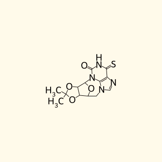 CC1(C)OC2C3Cn4cnc5c(=S)[nH]c(=O)n(c54)C(O3)C2O1